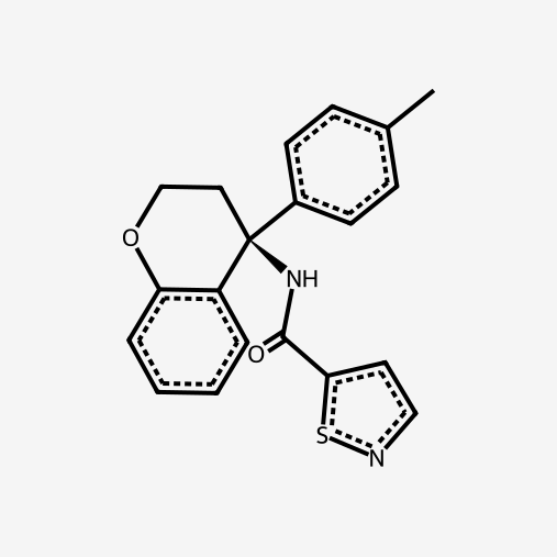 Cc1ccc([C@@]2(NC(=O)c3ccns3)CCOc3ccccc32)cc1